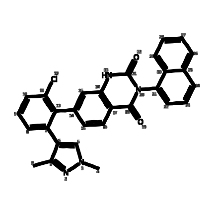 Cc1nn(C)cc1-c1cccc(Cl)c1-c1ccc2c(=O)n(-c3cccc4ccccc34)c(=O)[nH]c2c1